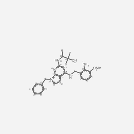 COc1cccc(CNc2nc(NC(C)C(C)(C)O)nc3c2ncn3Cc2ccccc2)c1N